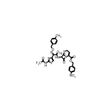 Cc1ccc(CO/N=C(\C(=O)NC2C(=O)N3C(C(=O)OCc4ccc([N+](=O)[O-])cc4)=CCS[C@H]23)c2csc(NC(=O)C(F)(F)F)n2)cc1